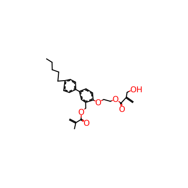 C=C(C)C(=O)OCc1cc(-c2ccc(CCCCC)cc2)ccc1OCCOC(=O)C(=C)CO